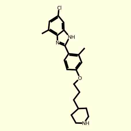 Cc1cc(OCCCC2CCNCC2)ccc1-c1nc2c(C)cc(Cl)cc2[nH]1